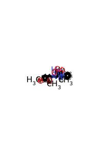 COc1ccc(CCNCc2c([N+](=O)[O-])c(=O)n(-c3ccccc3)n2C)c(OC)c1